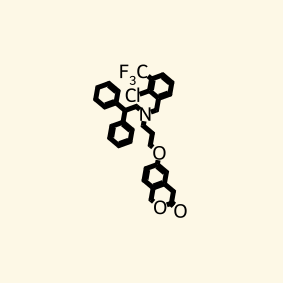 O=C1Cc2cc(OCCCN(Cc3cccc(C(F)(F)F)c3Cl)CC(C3=CCCC=C3)c3ccccc3)ccc2CO1